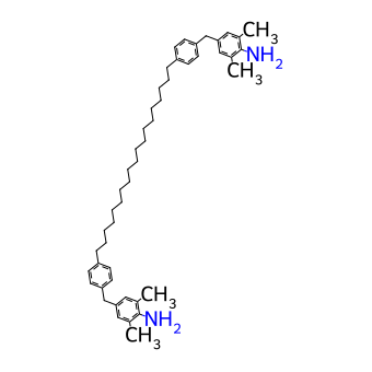 Cc1cc(Cc2ccc(CCCCCCCCCCCCCCCCCCCc3ccc(Cc4cc(C)c(N)c(C)c4)cc3)cc2)cc(C)c1N